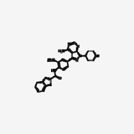 COc1cc(-c2nn(C3CCNCC3)c3ncnc(N)c23)ccc1NC(=O)c1cc2ccccc2s1